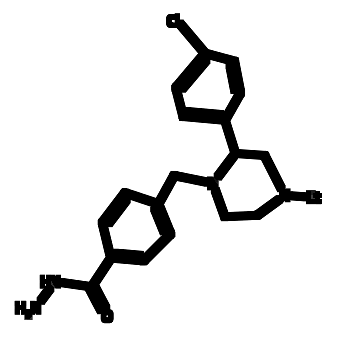 CCN1CCN(Cc2ccc(C(=O)NN)cc2)C(c2ccc(Cl)cc2)C1